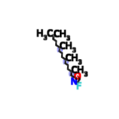 CC(C)=CCC/C(C)=C/CC/C(C)=C/CC/C(C)=C/C1=NC(F)CO1